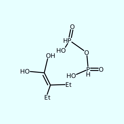 CCC(CC)=C(O)O.O=[PH](O)O[PH](=O)O